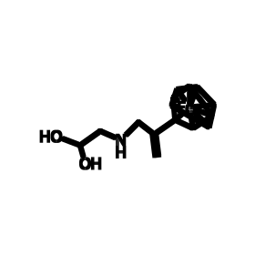 C=C(CNCC(O)O)[C]12[CH]3[CH]4[CH]5[CH]1[Fe]45321678[CH]2[CH]1[CH]6[CH]7[CH]28